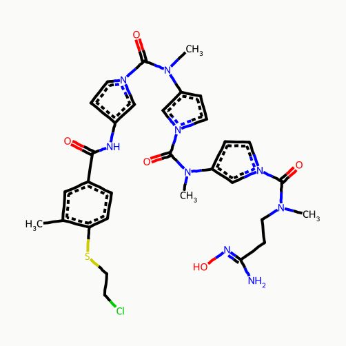 Cc1cc(C(=O)Nc2ccn(C(=O)N(C)c3ccn(C(=O)N(C)c4ccn(C(=O)N(C)CCC(N)=NO)c4)c3)c2)ccc1SCCCl